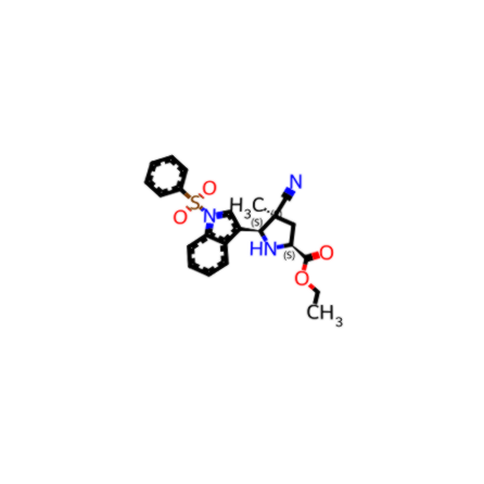 CCOC(=O)[C@@H]1C[C@](C)(C#N)[C@H](c2cn(S(=O)(=O)c3ccccc3)c3ccccc23)N1